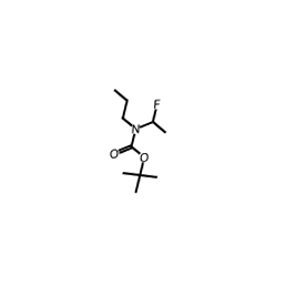 CCCN(C(=O)OC(C)(C)C)C(C)F